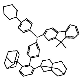 CC1(C)c2ccccc2-c2ccc(N(c3ccc(-c4c(C56CC7CC(CC(C7)C5)C6)cccc4C45CCC6CCC(CC6C4)C5)cc3)c3ccc(C4CCCCC4)cc3)cc21